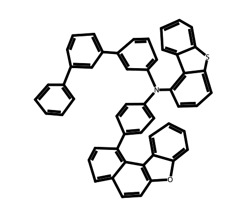 c1ccc(-c2cccc(-c3cccc(N(c4ccc(-c5cccc6ccc7oc8ccccc8c7c56)cc4)c4cccc5sc6ccccc6c45)c3)c2)cc1